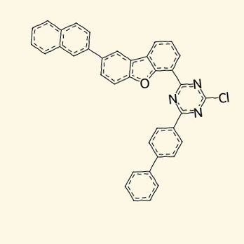 Clc1nc(-c2ccc(-c3ccccc3)cc2)nc(-c2cccc3c2oc2ccc(-c4ccc5ccccc5c4)cc23)n1